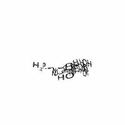 CC1(C)O[C@@H]2C[C@H]3[C@@H]4CCC5=Cc6c(cnn6CC#CCP)C[C@]5(C)[C@@]4(F)[C@@H](O)C[C@]3(C)[C@]2(C(=O)CO)O1